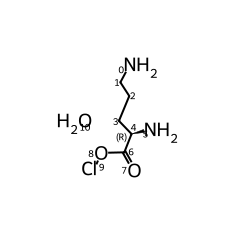 NCCC[C@@H](N)C(=O)OCl.O